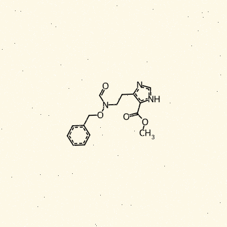 COC(=O)c1[nH]cnc1CCN(C=O)OCc1ccccc1